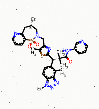 CC[C@H]1Cc2ncccc2S(=O)(=O)N(Cc2nc([C@@H](c3ccc4c(nnn4CC)c3C)C(C)(C)C(=O)Nc3cccnc3)sc2C)C1